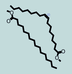 CCCCCCCC/C=C\CCCCCCCC(=O)OC.CCCCCCCCCCCCCCCC(=O)OC